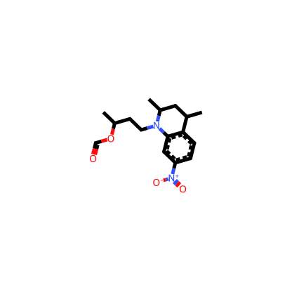 CC(CCN1c2cc([N+](=O)[O-])ccc2C(C)CC1C)OC=O